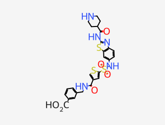 O=C(O)c1cccc(CNC(=O)c2csc(S(=O)(=O)Nc3ccc4nc(NC(=O)C5CCNCC5)sc4c3)c2)c1